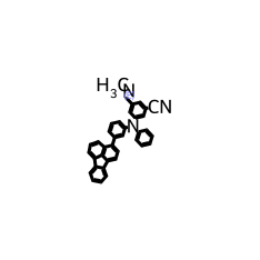 C/N=C/c1cc(C#N)cc(N(c2ccccc2)c2cccc(-c3ccc4c5c(cccc35)-c3ccccc3-4)c2)c1